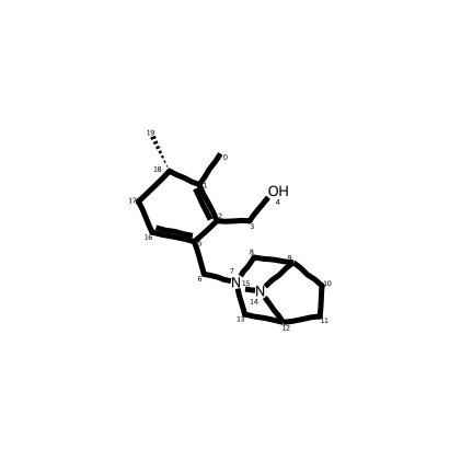 CC1=C(CO)C(CN2CC3CCC(C2)N3C)=CC[C@@H]1C